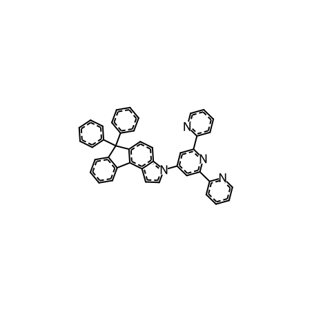 c1ccc(C2(c3ccccc3)c3ccccc3-c3c2ccc2c3ccn2-c2cc(-c3ccccn3)nc(-c3ccccn3)c2)cc1